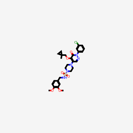 COc1ccc(CNS(=O)(=O)N2CCN(c3cnn(-c4cccc(Cl)c4)c(=O)c3OCC3(C)CC3)CC2)cc1OC